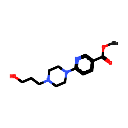 CC(C)(C)OC(=O)c1ccc(N2CCN(CCCO)CC2)nc1